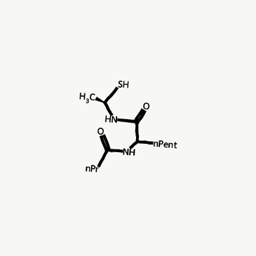 CCCCCC(NC(=O)CCC)C(=O)N[C@@H](C)S